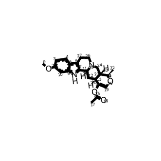 COc1ccc2c3c([nH]c2c1)[C@@H]1C[C@@H]2C(OC(C)=O)=CO[C@H](C)[C@H]2CN1CC3